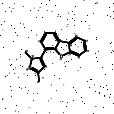 Cc1cc(-c2cccc3c2oc2ccccc23)n(C)n1